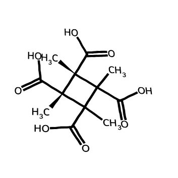 CC1(C(=O)O)C(C)(C(=O)O)[C@](C)(C(=O)O)[C@]1(C)C(=O)O